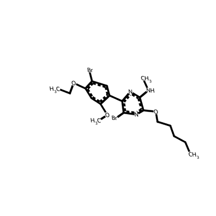 CCCCCOc1nc(Br)c(-c2cc(Br)c(OCC)cc2OC)nc1NC